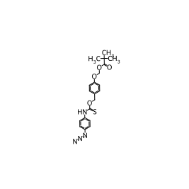 CC(C)(C)C(=O)OCOc1ccc(COC(=S)Nc2ccc(N=[N+]=[N-])cc2)cc1